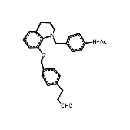 CC(=O)Nc1ccc(CN2CCCc3cccc(OCc4ccc(CCC=O)cc4)c32)cc1